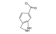 O=C(Cl)c1ccc2c(c1)NNC2